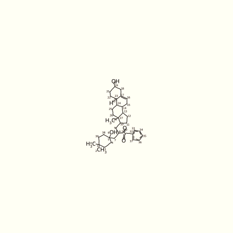 CC1(C)CCC(O)(CC(CC2CCC3C4CC=C5CC(O)CC[C@@H]5C4CCC23C)S(=O)(=O)c2ccccc2)CC1